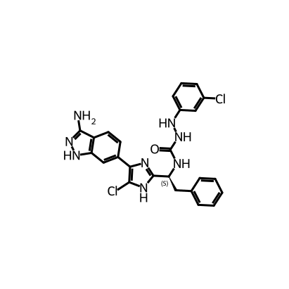 Nc1n[nH]c2cc(-c3nc([C@H](Cc4ccccc4)NC(=O)NNc4cccc(Cl)c4)[nH]c3Cl)ccc12